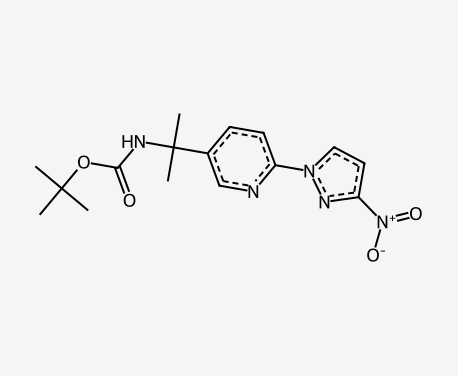 CC(C)(C)OC(=O)NC(C)(C)c1ccc(-n2ccc([N+](=O)[O-])n2)nc1